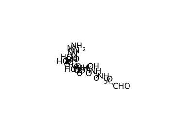 CC(C)(COP(=O)(O)OP(=O)(O)OC[C@H]1O[C@@H](n2cnc3c(N)ncnc32)[C@H](O)[C@@H]1OP(=O)(O)O)[C@@H](O)C(=O)NCCC(=O)NCCSC(=O)CCCC=O